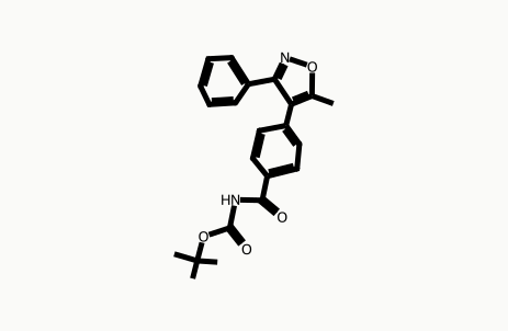 Cc1onc(-c2ccccc2)c1-c1ccc(C(=O)NC(=O)OC(C)(C)C)cc1